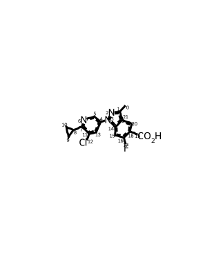 Cc1nn(-c2cnc(C3CC3)c(Cl)c2)c2cc(F)c(C(=O)O)cc12